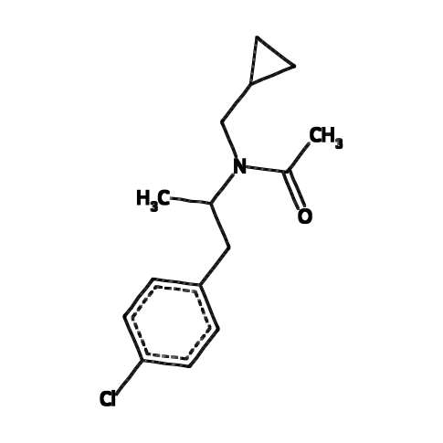 CC(=O)N(CC1CC1)C(C)Cc1ccc(Cl)cc1